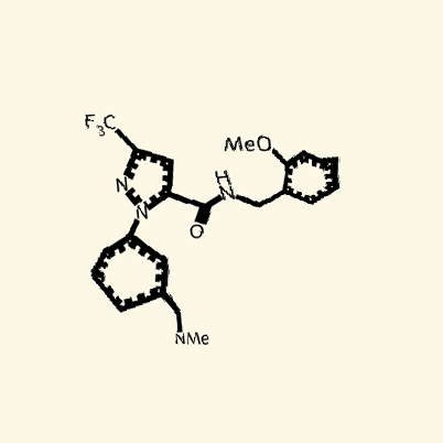 CNCc1cccc(-n2nc(C(F)(F)F)cc2C(=O)NCc2ccccc2OC)c1